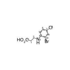 O=C(O)CCNc1ccc(Cl)cc1Br